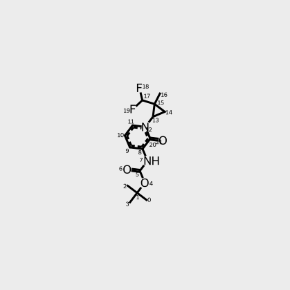 CC(C)(C)OC(=O)Nc1cccn(C2CC2(C)C(F)F)c1=O